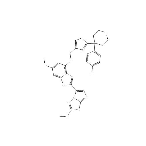 COc1cc(OCc2csc(C3(c4ccc(Cl)cc4)CCOCC3)n2)c2cc(-c3cnc4sc(OC)nn34)oc2c1